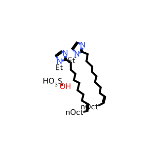 CCCCCCCC/C=C\CCCCCCCCc1nccn1CC.CCCCCCCC/C=C\CCCCCCCCc1nccn1CC.O=S(=O)(O)O